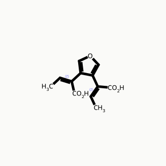 C/C=C(\C(=O)O)c1cocc1/C(=C/C)C(=O)O